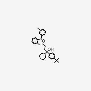 Cc1cccc(C(OCCCC(O)(c2ccc(C(C)(C)C)cc2)N2CCCCC2)c2ccccc2C)c1